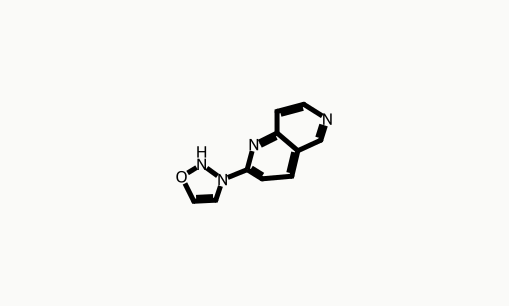 C1=CN(c2ccc3cnccc3n2)NO1